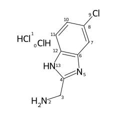 Cl.Cl.NCc1nc2cc(Cl)ccc2[nH]1